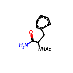 CC(=O)NC(Cc1ccccc1)C(N)=O